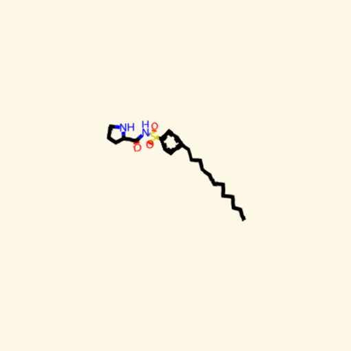 CCCCCCCCCCCCc1ccc(S(=O)(=O)NC(=O)C2CCCN2)cc1